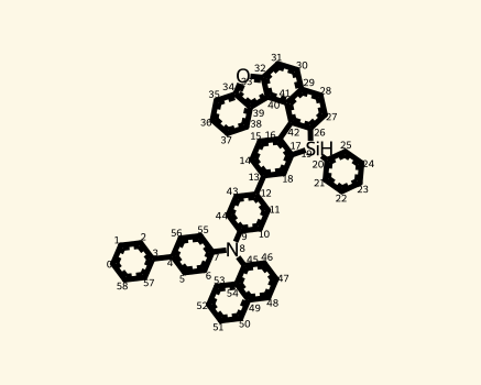 c1ccc(-c2ccc(N(c3ccc(-c4ccc5c(c4)[SiH](c4ccccc4)c4ccc6ccc7oc8ccccc8c7c6c4-5)cc3)c3cccc4ccccc34)cc2)cc1